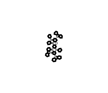 c1ccc(N2c3ccccc3B3c4cc5c(cc4Oc4cc(-n6c7ccccc7c7ccccc76)cc2c43)N(c2ccccc2)c2cc(-n3c4ccccc4c4ccccc43)cc3c2B5c2cccc4c5ccccc5n-3c24)cc1